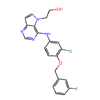 OCCn1ccc2ncnc(Nc3ccc(OCc4cccc(F)c4)c(Cl)c3)c21